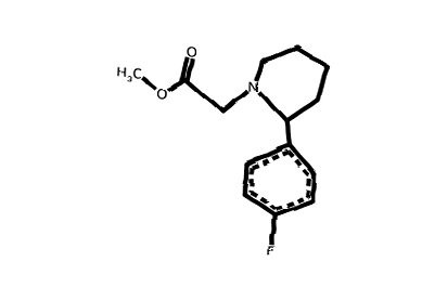 COC(=O)CN1CCCCC1c1ccc(F)cc1